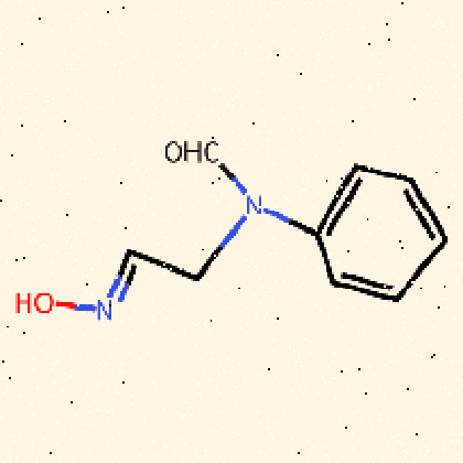 O=CN(CC=NO)c1ccccc1